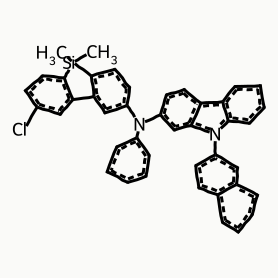 C[Si]1(C)c2ccc(Cl)cc2-c2cc(N(c3ccccc3)c3ccc4c5ccccc5n(-c5ccc6ccccc6c5)c4c3)ccc21